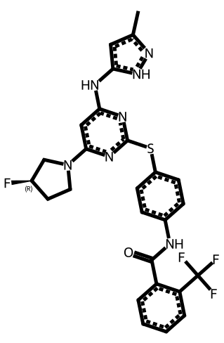 Cc1cc(Nc2cc(N3CC[C@@H](F)C3)nc(Sc3ccc(NC(=O)c4ccccc4C(F)(F)F)cc3)n2)[nH]n1